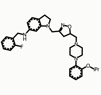 CC(C)Oc1ccccc1N1CCN(CC2CC(CN3CCc4ccc(NCc5ccccc5F)cc43)=NO2)CC1